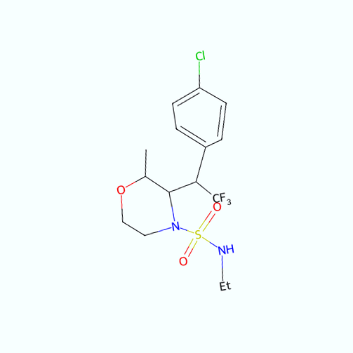 CCNS(=O)(=O)N1CCOC(C)C1C(c1ccc(Cl)cc1)C(F)(F)F